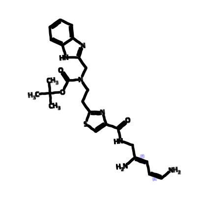 CC(C)(C)OC(=O)N(CCc1nc(C(=O)NC/C(N)=C/C=C\N)cs1)Cc1nc2ccccc2[nH]1